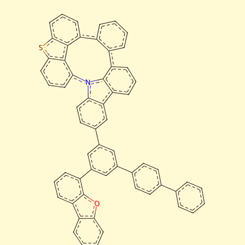 c1ccc(-c2ccc(-c3cc(-c4ccc5c(c4)c4cccc6c7ccccc7c7cccc8sc9cccc(c9c87)n5c64)cc(-c4cccc5c4oc4ccccc45)c3)cc2)cc1